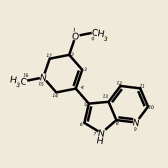 COC1C=C(c2c[nH]c3ncccc23)CN(C)C1